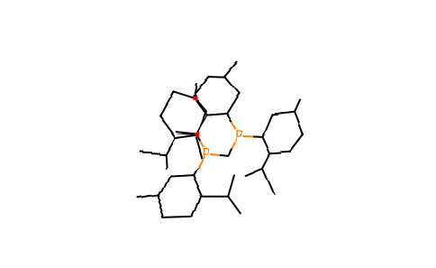 CC1CCC(C(C)C)C(P(CP(C2CC(C)CCC2C(C)C)C2CC(C)CCC2C(C)C)C2CC(C)CCC2C(C)C)C1